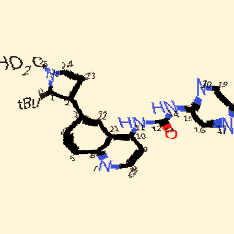 CC(C)(C)C1C(c2ccc3nccc(NC(=O)Nc4cnccn4)c3c2)CCN1C(=O)O